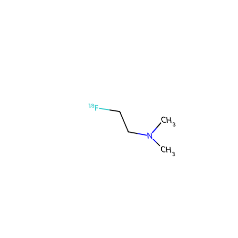 CN(C)CC[18F]